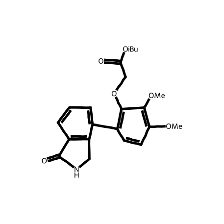 COc1ccc(-c2cccc3c2CNC3=O)c(OCC(=O)OCC(C)C)c1OC